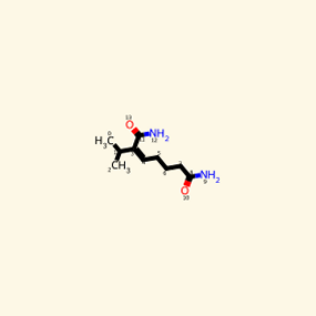 CC(C)C(=CCCCC(N)=O)C(N)=O